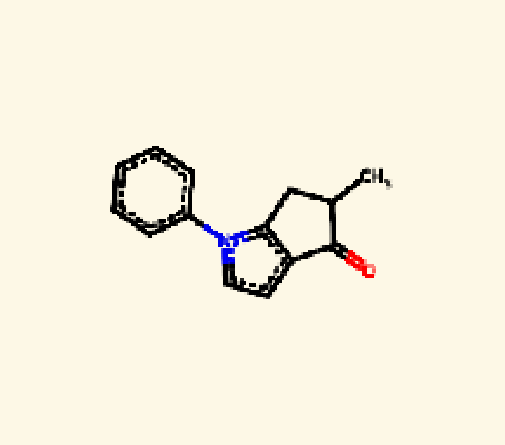 CC1Cc2c(ccn2-c2ccccc2)C1=O